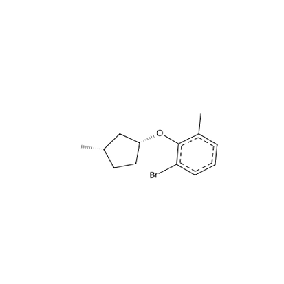 Cc1cccc(Br)c1O[C@@H]1CC[C@H](C)C1